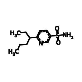 CCCC(CC)c1ccc(S(N)(=O)=O)cn1